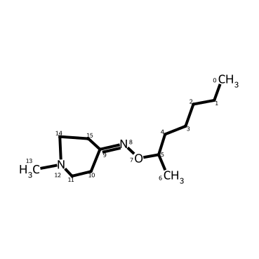 CCCCCC(C)ON=C1CCN(C)CC1